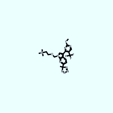 CSc1ncc(C(F)(F)F)c(-c2cn(COCC[Si](C)(C)C)c3nc(C4(C)N=NN=N4)ccc23)n1